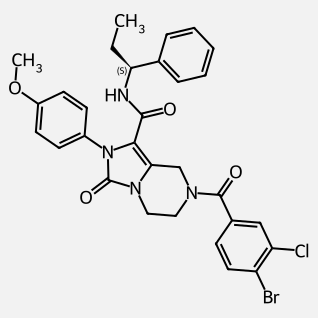 CC[C@H](NC(=O)c1c2n(c(=O)n1-c1ccc(OC)cc1)CCN(C(=O)c1ccc(Br)c(Cl)c1)C2)c1ccccc1